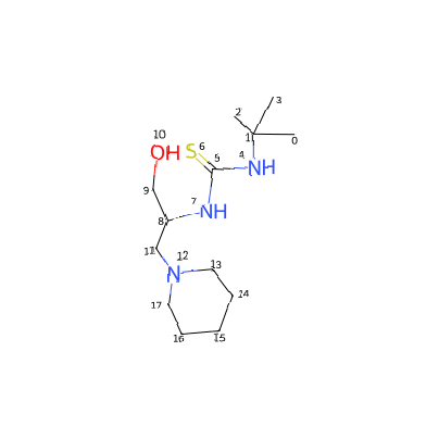 CC(C)(C)NC(=S)NC(CO)CN1CCCCC1